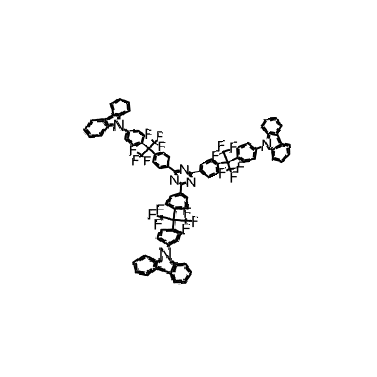 FC(F)(F)C(c1ccc(-c2nc(-c3ccc(C(c4ccc(-n5c6ccccc6c6ccccc65)cc4)(C(F)(F)F)C(F)(F)F)cc3)nc(-c3ccc(C(c4ccc(-n5c6ccccc6c6ccccc65)cc4)(C(F)(F)F)C(F)(F)F)cc3)n2)cc1)(c1ccc(-n2c3ccccc3c3ccccc32)cc1)C(F)(F)F